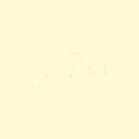 CC1CN(C(=O)OC(C)(C)C)Cc2cnn(-c3ccccc3)c21